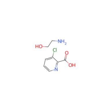 NCCO.O=C(O)c1ncccc1Cl